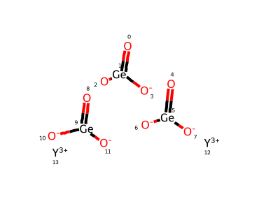 [O]=[Ge]([O-])[O-].[O]=[Ge]([O-])[O-].[O]=[Ge]([O-])[O-].[Y+3].[Y+3]